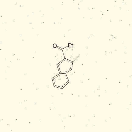 CCC(=O)c1cc2ccccc2cc1C